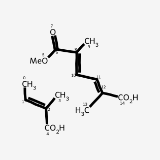 CC=C(C)C(=O)O.COC(=O)C(C)=CC=C(C)C(=O)O